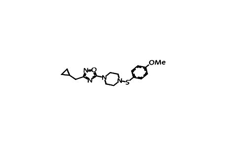 COc1ccc(SN2CCN(c3nc(CC4CC4)no3)CC2)cc1